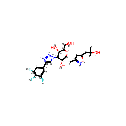 CC(C)(O)CC1CC(C[C@H]2O[C@H](CO)[C@H](O)[C@H](n3cc(-c4cc(F)c(F)c(F)c4)nn3)[C@H]2O)=NO1